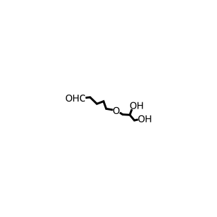 O=CCCCCOCC(O)CO